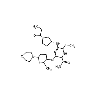 CCC(=O)N1CC[C@@H](NC2=NC(NC3CCC(N4CCOCC4)CC3C)C(C(N)=O)NC2CC)C1